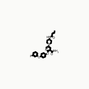 CC=CC(=O)NC1CCN(c2cnc(Oc3ccc(Oc4cccc(F)c4)cc3)c(C(N)=O)c2)CC1